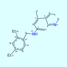 C=C(/C=C(/C)C(=CC)/C=N\C)NCc1ccc(CC)cc1CC